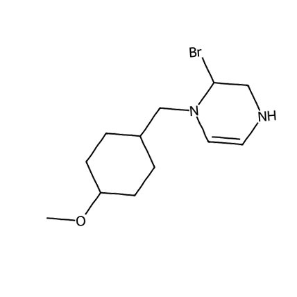 COC1CCC(CN2C=CNCC2Br)CC1